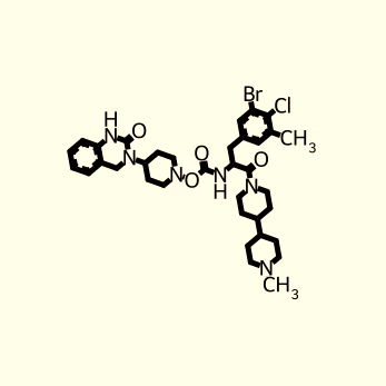 Cc1cc(CC(NC(=O)ON2CCC(N3Cc4ccccc4NC3=O)CC2)C(=O)N2CCC(C3CCN(C)CC3)CC2)cc(Br)c1Cl